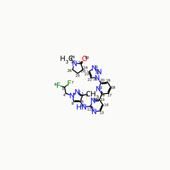 Cc1nn(CC(F)F)cc1Nc1nccc(-c2cccc(-n3cc([C@@H]4CCN(C)C4=O)nn3)n2)n1